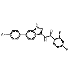 CC(=O)c1ccc(-c2ccc3c(NC(=O)c4ccc(F)cc4F)n[nH]c3c2)cc1